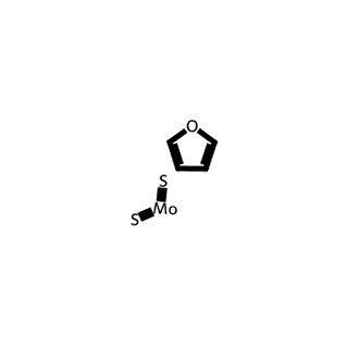 [S]=[Mo]=[S].c1ccoc1